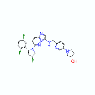 O[C@H]1CCN(c2ccc(CNc3cnc4ccc(N5C[C@@H](F)C[C@@H]5c5cc(F)ccc5F)nn34)nc2)C1